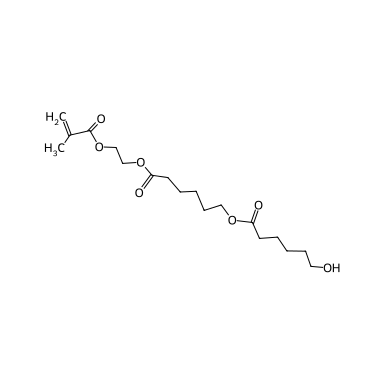 C=C(C)C(=O)OCCOC(=O)CCCCCOC(=O)CCCCCO